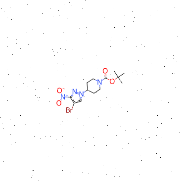 CC(C)(C)OC(=O)N1CCC(n2cc(Br)c([N+](=O)[O-])n2)CC1